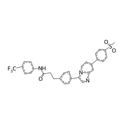 CS(=O)(=O)c1ccc(-c2ccn3c(-c4ccc(CCC(=O)Nc5ccc(C(F)(F)F)cc5)cc4)cnc3c2)cc1